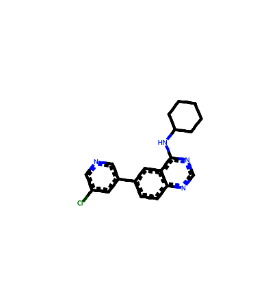 Clc1cncc(-c2ccc3ncnc(NC4CCCCC4)c3c2)c1